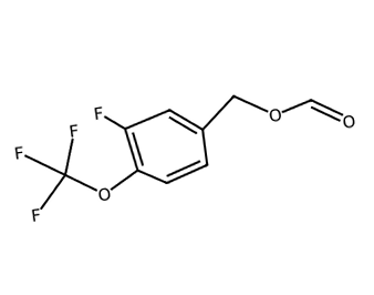 O=COCc1ccc(OC(F)(F)F)c(F)c1